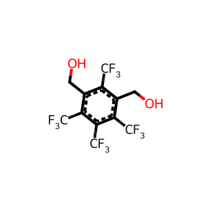 OCc1c(C(F)(F)F)c(CO)c(C(F)(F)F)c(C(F)(F)F)c1C(F)(F)F